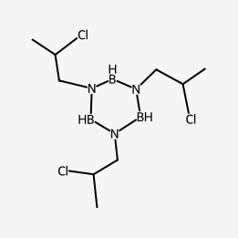 CC(Cl)CN1BN(CC(C)Cl)BN(CC(C)Cl)B1